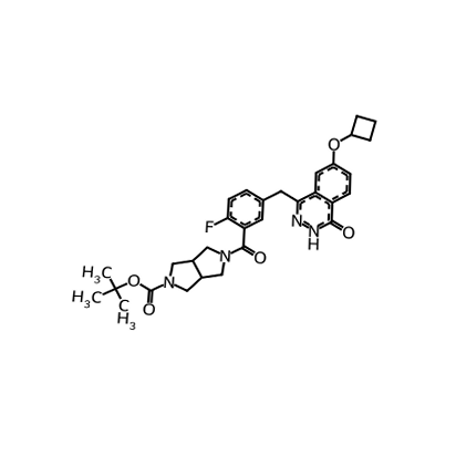 CC(C)(C)OC(=O)N1CC2CN(C(=O)c3cc(Cc4n[nH]c(=O)c5ccc(OC6CCC6)cc45)ccc3F)CC2C1